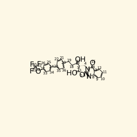 O=C(O)[C@@H](Cn1nnc2ccccc2c1=O)[C@H](O)CCc1ccc(-c2ccc(OC(F)(F)F)cc2)cc1